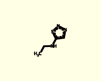 CCNc1cnns1